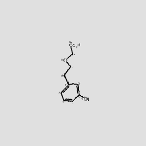 N#Cc1cccc(CCOCC(=O)O)c1